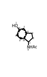 CC(=O)NC1CCc2cc(O)ccc21